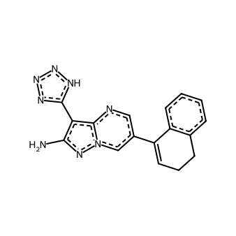 Nc1nn2cc(C3=CCCc4ccccc43)cnc2c1-c1nnn[nH]1